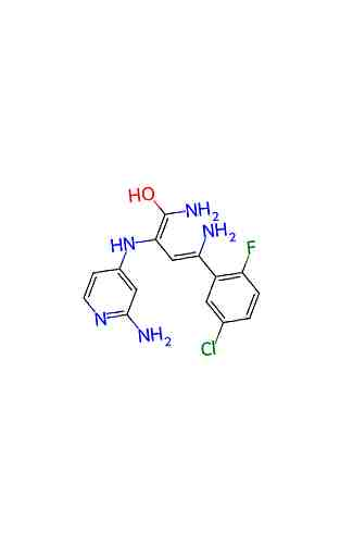 N/C(=C\C(Nc1ccnc(N)c1)=C(/N)O)c1cc(Cl)ccc1F